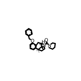 CC1(C)[C@H]2Cc3c(OCc4ccccc4)cccc3[C@]1(C)CCN2C(=O)N1CCCCC1